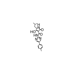 Cc1ccc(-c2cnc(NC(=O)C3=C(O)C(CC(C)C)NC3=O)nc2)cc1